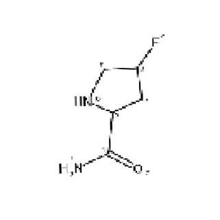 NC(=O)C1CC(F)CN1